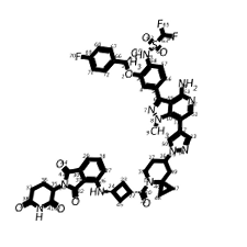 C[C@H](Oc1cc(-c2nn(C)c3c(-c4cnn(C5CCN(C(=O)[C@H]6C[C@H](Nc7cccc8c7C(=O)N(C7CCC(=O)NC7=O)C8=O)C6)C6(CC6)C5)c4)cnc(N)c23)ccc1NS(=O)(=O)C(F)F)c1ccc(F)cc1